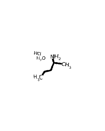 CCCC(C)N.Cl.O